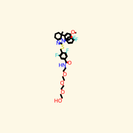 COc1cc(C2(C)CCCc3nc(SCc4c(F)cc(C(=O)NCCOCCOCCOCCO)cc4F)n(-c4ccc(F)cc4)c32)ccc1F